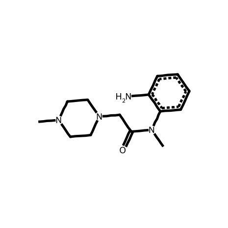 CN1CCN(CC(=O)N(C)c2ccccc2N)CC1